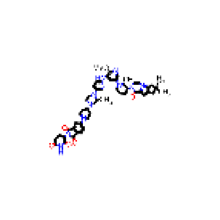 COc1ncc(N2CCC[C@H](N3CCn4c(cc5c4CC(C)(C)C5)C3=O)[C@H]2C)cc1Nc1ccc(N2CCN(C3CCN(c4ccc5c(c4)C(=O)N(C4CCC(=O)NC4=O)C5=O)CC3)C[C@@H]2C)cn1